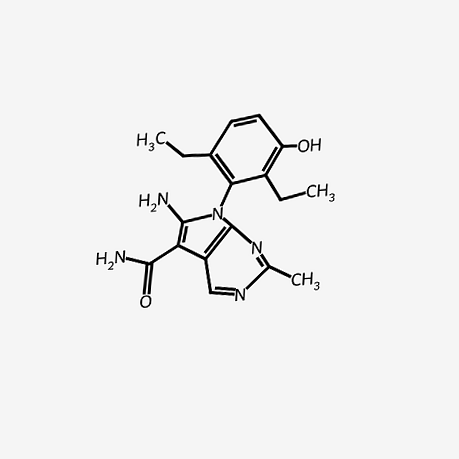 CCc1ccc(O)c(CC)c1-n1c(N)c(C(N)=O)c2cnc(C)nc21